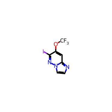 FC(F)(F)Oc1cc2nccn2nc1I